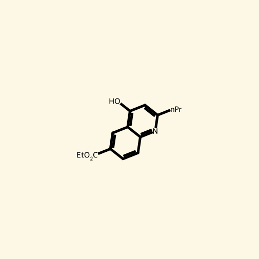 CCCc1cc(O)c2cc(C(=O)OCC)ccc2n1